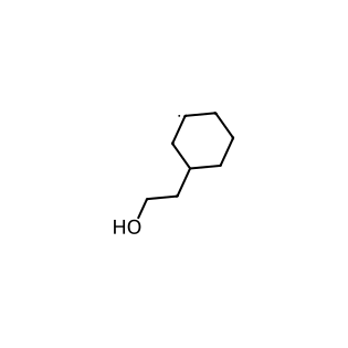 OCCC1C[CH]CCC1